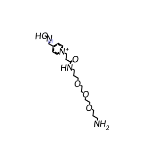 NCCCOCCOCCOCCCNC(=O)CC[n+]1ccc(/C=N/O)cc1